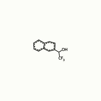 OC(c1ccc2ccccc2c1)C(F)(F)F